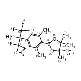 Cc1cc(C(C)(C(C)(F)F)C(F)(F)F)cc(C)c1B1OC(C)(C)C(C)(C)O1